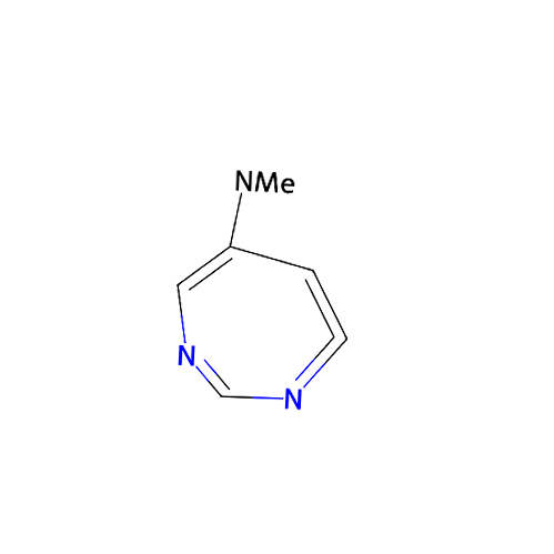 CNC1=CN=CN=C=C1